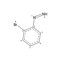 N=Nc1ccccc1Br